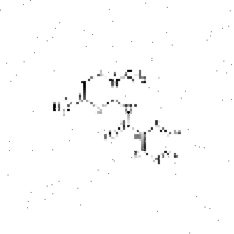 CC1CCN(C)C(OC(=O)c2ccccc2)C1